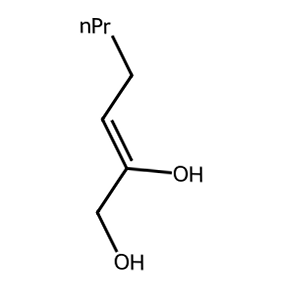 CCCCC=C(O)CO